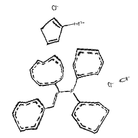 C(=C(c1ccccc1)P(c1ccccc1)c1ccccc1)c1ccccc1.[Cl-].[Cl-].[Cl-].[Hf+3][C]1=CCC=C1